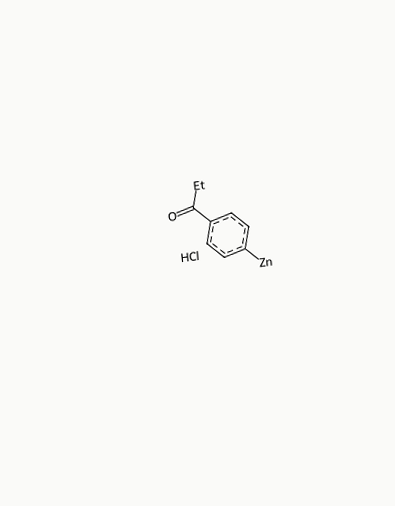 CCC(=O)c1cc[c]([Zn])cc1.Cl